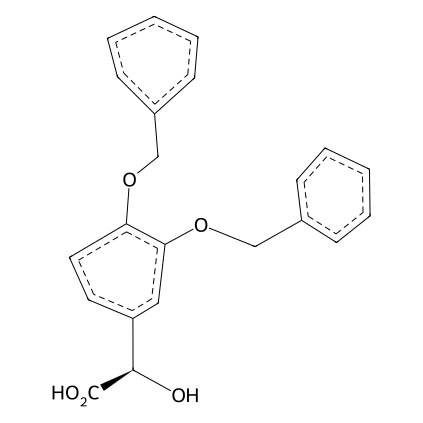 O=C(O)[C@H](O)c1ccc(OCc2ccccc2)c(OCc2ccccc2)c1